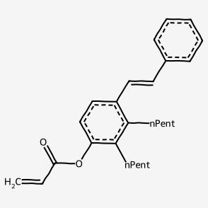 C=CC(=O)Oc1ccc(C=Cc2ccccc2)c(CCCCC)c1CCCCC